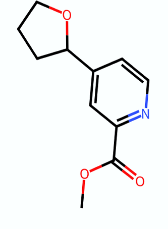 COC(=O)c1cc(C2CCCO2)ccn1